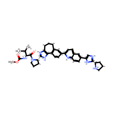 COC(=O)N[C@H](C(=O)N1CCC[C@H]1c1nc2c([nH]1)-c1ccc(-c3ccc4cc(-c5cnc([C@@H]6CCCN6)[nH]5)ccc4n3)cc1CCC2)C(C)C